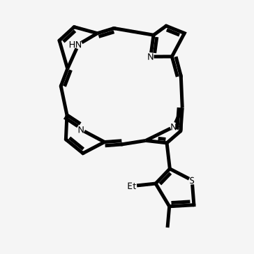 CCc1c(C)csc1-c1cc2cc3nc(cc4ccc(cc5nc(cc1[nH]2)C=C5)[nH]4)C=C3